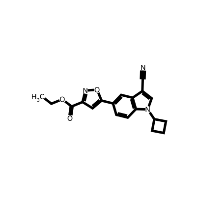 CCOC(=O)c1cc(-c2ccc3c(c2)c(C#N)cn3C2CCC2)on1